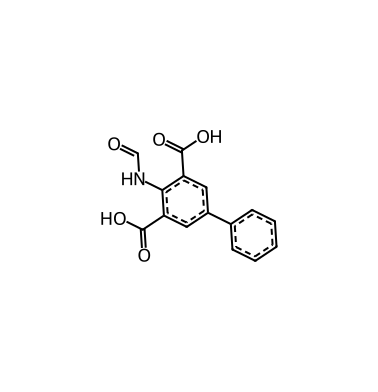 O=CNc1c(C(=O)O)cc(-c2ccccc2)cc1C(=O)O